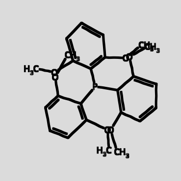 COc1cccc(OC)c1P(c1c(OC)cccc1OC)c1c(OC)cccc1OC